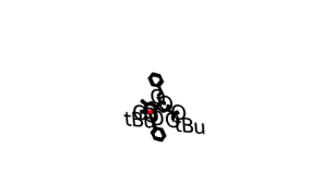 C=C(CC(CC(=C)C(=O)OC(C)(C)C)(C(=O)OCc1ccccc1)C(=O)OCc1ccccc1)C(=O)OC(C)(C)C